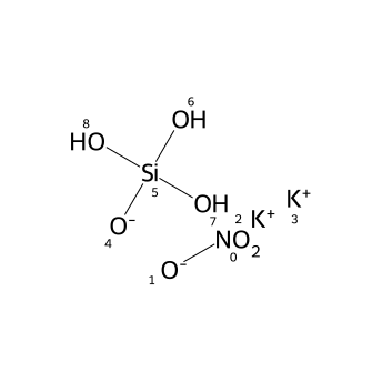 O=[N+]([O-])[O-].[K+].[K+].[O-][Si](O)(O)O